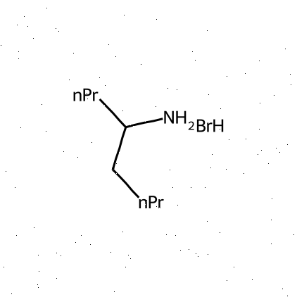 Br.CCCCC(N)CCC